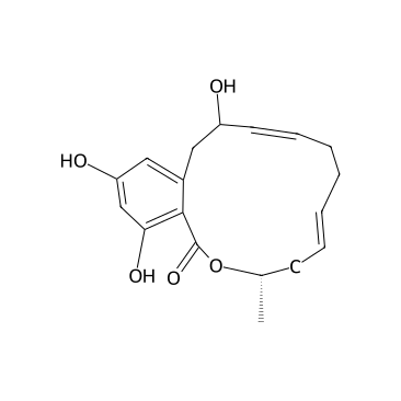 C[C@H]1C/C=C/CC/C=C/C(O)Cc2cc(O)cc(O)c2C(=O)O1